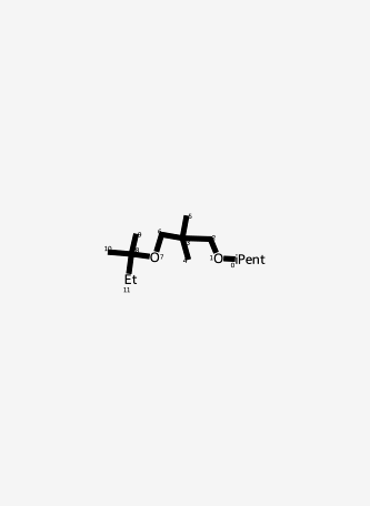 CCCC(C)OCC(C)(C)COC(C)(C)CC